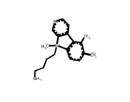 Cc1ccc2c(c1C)-c1ccncc1[N+]2(C)CCCCN